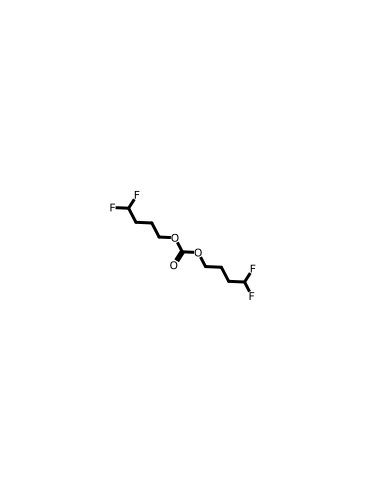 O=C(OCCCC(F)F)OCCCC(F)F